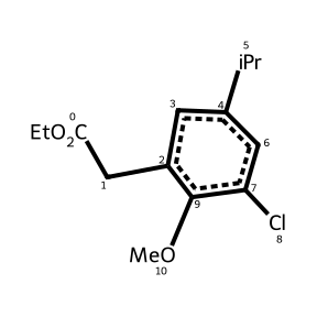 CCOC(=O)Cc1cc(C(C)C)cc(Cl)c1OC